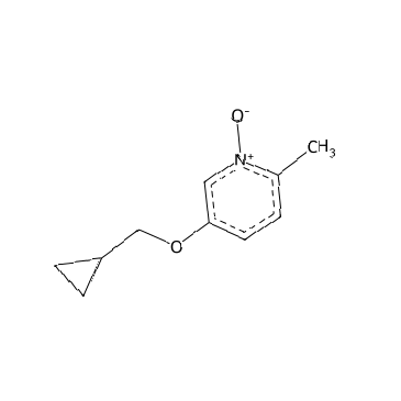 Cc1ccc(OCC2CC2)c[n+]1[O-]